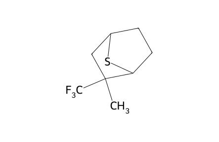 CC1(C(F)(F)F)CC2CCC1S2